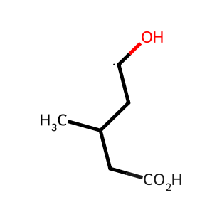 CC(C[CH]O)CC(=O)O